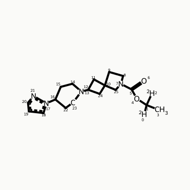 [2H]C([2H])(C)OC(=O)N1CCC2(CC(N3CCC(n4cccn4)CC3)C2)C1